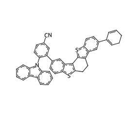 N#Cc1ccc(-n2c3ccccc3c3ccccc32)c(-c2ccc3sc4c(c3c2)-c2sc3ccc(C5=CCCC=C5)cc3c2CC4)c1